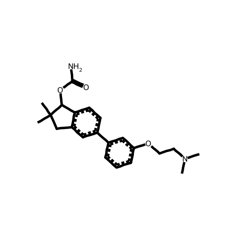 CN(C)CCOc1cccc(-c2ccc3c(c2)CC(C)(C)C3OC(N)=O)c1